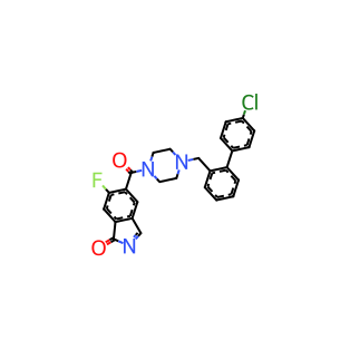 O=C1N=Cc2cc(C(=O)N3CCN(Cc4ccccc4-c4ccc(Cl)cc4)CC3)c(F)cc21